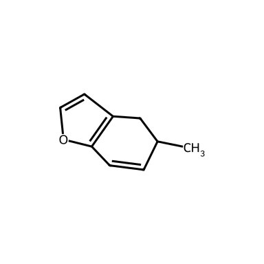 CC1C=Cc2occc2C1